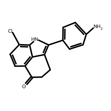 Nc1ccc(-c2[nH]c3c(Cl)ccc4c3c2CCC4=O)cc1